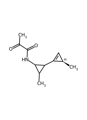 CC(=O)C(=O)NC1C(C)C1C1=C[C@H]1C